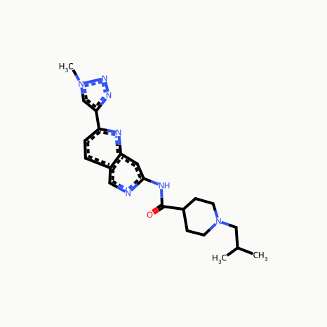 CC(C)CN1CCC(C(=O)Nc2cc3nc(-c4cn(C)nn4)ccc3cn2)CC1